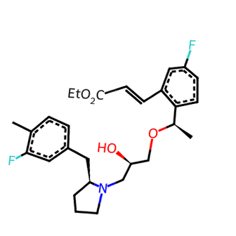 CCOC(=O)/C=C/c1cc(F)ccc1[C@@H](C)OC[C@H](O)CN1CCC[C@H]1Cc1ccc(C)c(F)c1